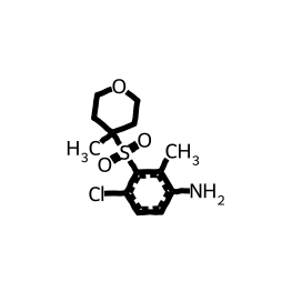 Cc1c(N)ccc(Cl)c1S(=O)(=O)C1(C)CCOCC1